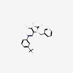 C=Nc1c(/C=C(\C)c2cccc(C(F)(F)F)c2)n(Cc2cccnc2)c(=O)n1C